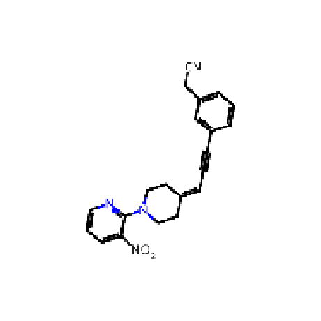 N#CCc1cccc(C#CC=C2CCN(c3ncccc3[N+](=O)[O-])CC2)c1